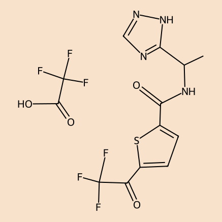 CC(NC(=O)c1ccc(C(=O)C(F)(F)F)s1)c1ncn[nH]1.O=C(O)C(F)(F)F